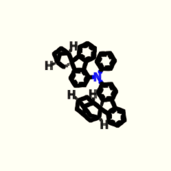 c1ccc(N(c2ccc3c(c2)[C@]2(c4ccccc4-3)[C@@H]3CC4C[C@@H](C3)C[C@@H]2C4)c2cccc3c2-c2ccccc2[C@@]32C[C@H]3CC[C@@H]2C3)cc1